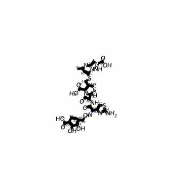 CC1=NC2=CN(C(=O)O)NN2C(SCC2=C(C(=O)O)N3C(=O)[C@@H](NC(=O)/C(=N\OCc4ccc(C(=O)O)c(O)c4O)c4csc(N)n4)[C@H]3SC2)=C1